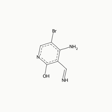 N=Cc1c(O)ncc(Br)c1N